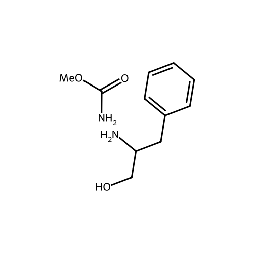 COC(N)=O.NC(CO)Cc1ccccc1